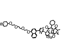 CC(C(=O)NC(C(=O)N1CCC[C@H]1c1nc(-c2ccc(OCCOCCOCCOC3CCNCC3)c3ccccc23)cs1)C1CCCCC1)N(C)C(=O)OC(C)(C)C